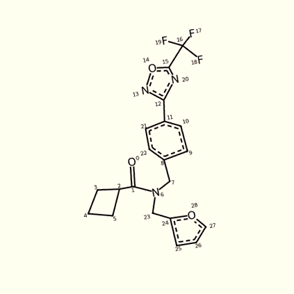 O=C(C1CCC1)N(Cc1ccc(-c2noc(C(F)(F)F)n2)cc1)Cc1ccco1